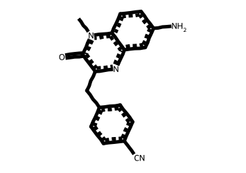 Cn1c(=O)c(Cc2ccc(C#N)cc2)nc2cc(N)ccc21